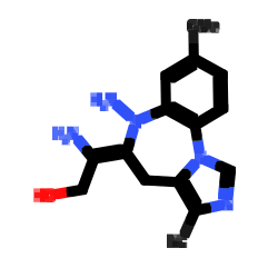 COc1ccc2c(c1)N(N)/C(=C(\N)CO)Cc1c(C#N)ncn1-2